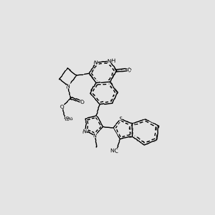 Cn1ncc(-c2ccc3c(=O)[nH]nc(C4CCN4C(=O)OC(C)(C)C)c3c2)c1-c1sc2ccccc2c1C#N